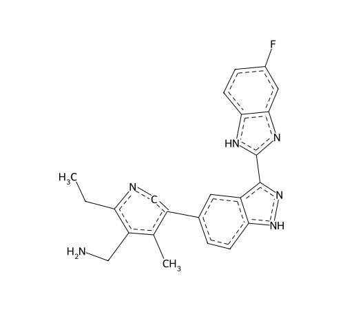 CCc1ncc(-c2ccc3[nH]nc(-c4nc5cc(F)ccc5[nH]4)c3c2)c(C)c1CN